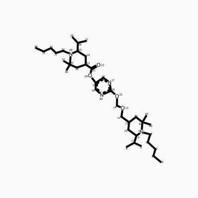 CCCCCN1C(C(C)C)CC(COCOc2ncc(OC(=O)C3CC(C(C)C)N(CCCCC)C(C)(C)C3)cn2)CC1(C)C